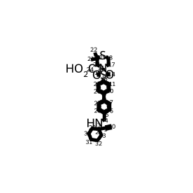 C#CC1(NCc2ccc(-c3ccc(S(=O)(=O)N4CCSC(C)(C)[C@@H]4C(=O)O)cc3)cc2)CCCCC1